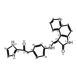 O=C1Nc2ccc3ncccc3c2/C1=C/Nc1ccc(CC(=O)c2ncc[nH]2)cc1